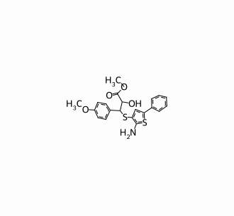 COC(=O)C(O)C(Sc1cc(-c2ccccc2)sc1N)c1ccc(OC)cc1